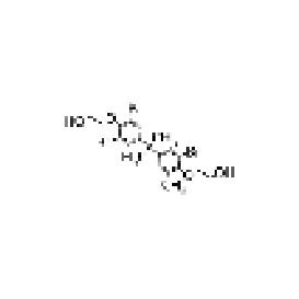 Cc1cc(C(C)(C)c2cc(Br)c(OCCO)c(Br)c2)cc(Br)c1OCCO